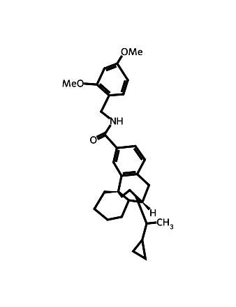 COc1ccc(CNC(=O)c2ccc3c(c2)[C@@]24CCCCC2[C@@H](C3)C(C(C)C2CC2)CC4)c(OC)c1